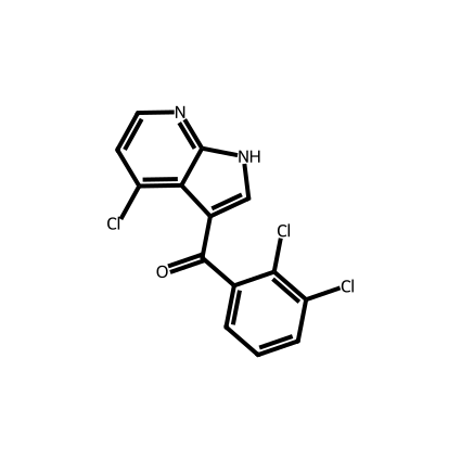 O=C(c1cccc(Cl)c1Cl)c1c[nH]c2nccc(Cl)c12